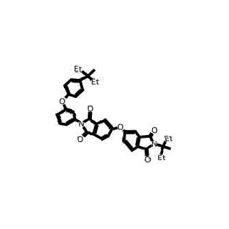 CCC(C)(CC)c1ccc(Oc2cccc(N3C(=O)c4ccc(Oc5ccc6c(c5)C(=O)N(C(C)(CC)CC)C6=O)cc4C3=O)c2)cc1